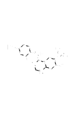 O=[N+]([O-])c1cc2c(Nc3ccc(Br)cc3F)ncnc2cc1F